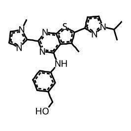 Cc1c(-c2ccn(C(C)C)n2)sc2nc(-c3nccn3C)nc(Nc3cccc(CO)c3)c12